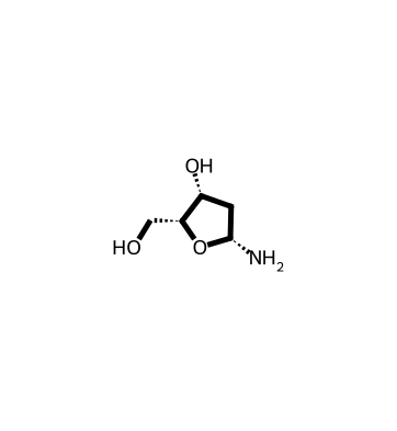 N[C@H]1C[C@@H](O)[C@@H](CO)O1